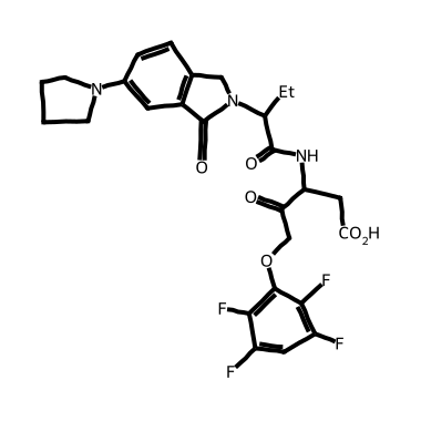 CCC(C(=O)NC(CC(=O)O)C(=O)COc1c(F)c(F)cc(F)c1F)N1Cc2ccc(N3CCCC3)cc2C1=O